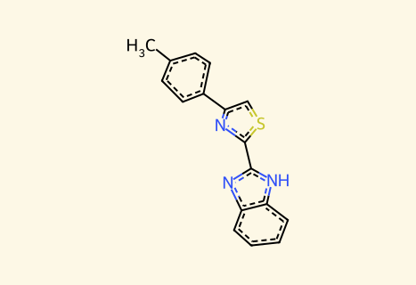 Cc1ccc(-c2csc(-c3nc4ccccc4[nH]3)n2)cc1